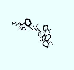 N=C(N)c1cccc(CNC(=O)[C@@H]2CCCN2C(=O)C2NCC[C@@H]3CCCC[C@H]23)c1